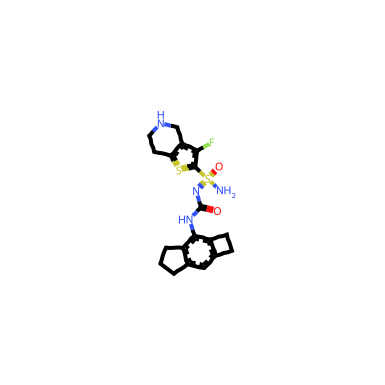 NS(=O)(=NC(=O)Nc1c2c(cc3c1CC3)CCC2)c1sc2c(c1F)CNCC2